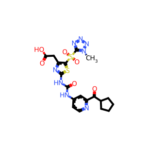 Cn1nnnc1S(=O)(=O)c1sc(NC(=O)Nc2ccnc(C(=O)C3CCCC3)c2)nc1CC(=O)O